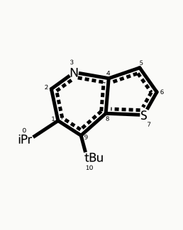 CC(C)c1cnc2ccsc2c1C(C)(C)C